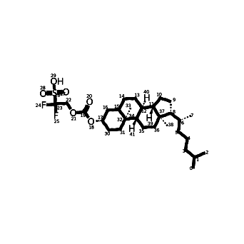 CC(C)CCC[C@@H](C)[C@H]1CC[C@H]2[C@@H]3CCC4C[C@@H](OC(=O)OCC(F)(F)S(=O)(=O)O)CC[C@]4(C)[C@H]3CC[C@]12C